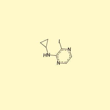 Ic1nccnc1NC1CC1